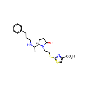 CC(NCCCc1ccccc1)[C@H]1CCC(=O)N1CCSc1nc(C(=O)O)cs1